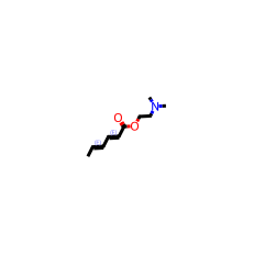 C/C=C/C=C/C(=O)OCCN(C)C